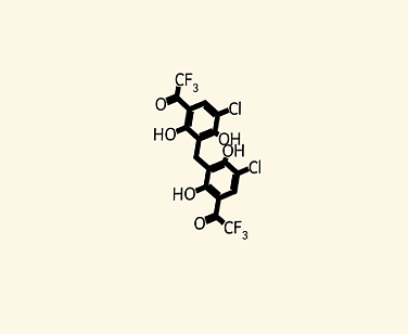 O=C(c1cc(Cl)c(O)c(Cc2c(O)c(Cl)cc(C(=O)C(F)(F)F)c2O)c1O)C(F)(F)F